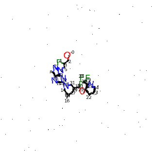 COCC(F)Cn1ncc2ncc(N3C[C@H](C)C[C@H](COc4cccnc4C(F)(F)F)C3)nc21